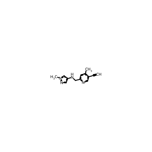 C#Cc1cnc(CNc2cnn(C)c2)cc1C